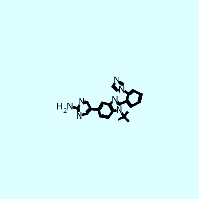 CC(C)(C)n1c(-c2ccccc2-n2ccnc2)nc2cc(-c3cnc(N)nc3)ccc21